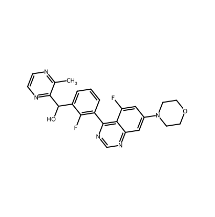 Cc1nccnc1C(O)c1cccc(-c2ncnc3cc(N4CCOCC4)cc(F)c23)c1F